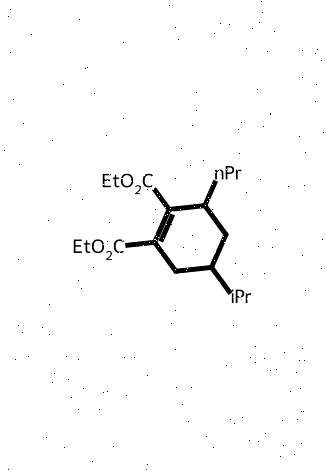 CCCC1CC(C(C)C)CC(C(=O)OCC)=C1C(=O)OCC